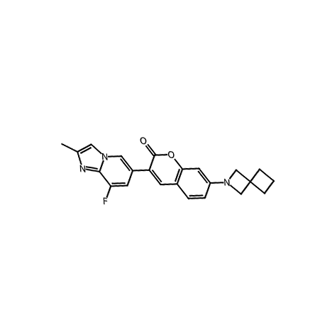 Cc1cn2cc(-c3cc4ccc(N5CC6(CCC6)C5)cc4oc3=O)cc(F)c2n1